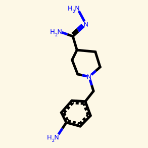 N/N=C(\N)C1CCN(Cc2ccc(N)cc2)CC1